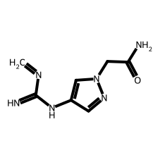 C=NC(=N)Nc1cnn(CC(N)=O)c1